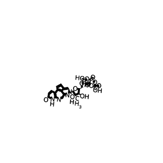 C[C@@]1(O)[C@H](O)[C@@H](COP(=O)(O)OP(=O)(O)OP(=O)(O)O)O[C@H]1n1cc2ccc3c4ccc(=O)[nH]c4ncc(n1)c23